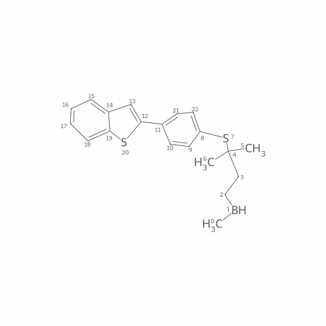 CBCCC(C)(C)Sc1ccc(-c2cc3ccccc3s2)cc1